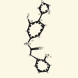 O=C(Cc1ccccc1C(F)(F)F)Nc1ccc(-c2cnco2)c(F)c1